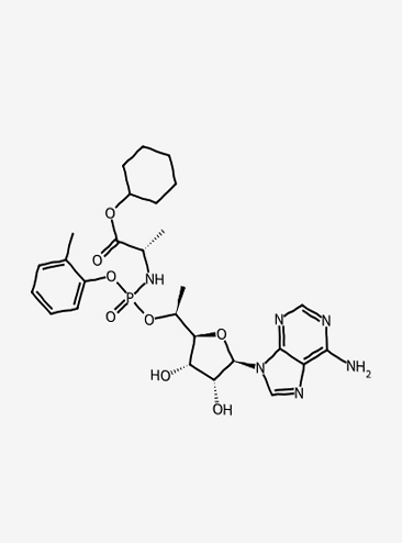 Cc1ccccc1OP(=O)(N[C@@H](C)C(=O)OC1CCCCC1)O[C@@H](C)[C@H]1O[C@@H](n2cnc3c(N)ncnc32)[C@H](O)[C@@H]1O